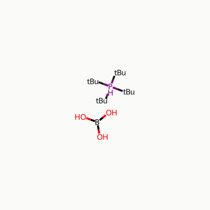 CC(C)(C)[PH](C(C)(C)C)(C(C)(C)C)C(C)(C)C.OB(O)O